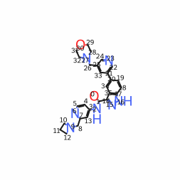 O=C(Nc1ccnc(CN2CCC2)c1)c1n[nH]c2ccc(-c3cncc(CN4CCOCC4)c3)cc12